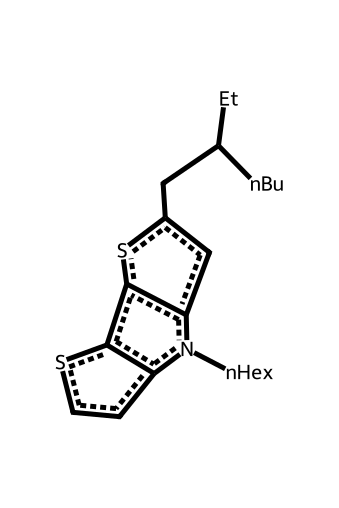 CCCCCCn1c2ccsc2c2sc(CC(CC)CCCC)cc21